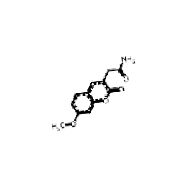 COc1ccc2cc(CC(N)=O)c(=O)oc2c1